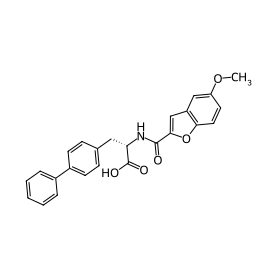 COc1ccc2oc(C(=O)N[C@@H](Cc3ccc(-c4ccccc4)cc3)C(=O)O)cc2c1